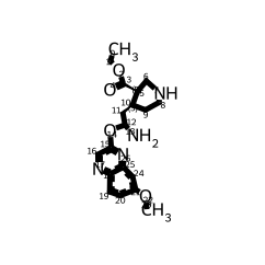 CCOC(=O)[C@H]1CNCC[C@H]1CC(N)Oc1cnc2ccc(OC)cc2n1